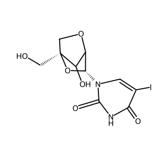 O=c1[nH]c(=O)n([C@@H]2O[C@@]3(CO)COC2C3O)cc1I